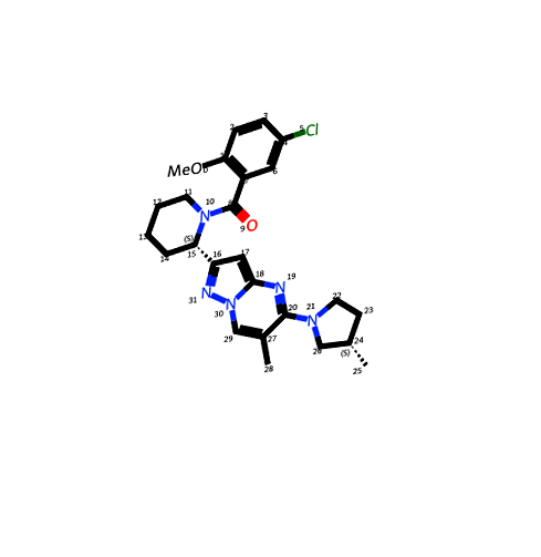 COc1ccc(Cl)cc1C(=O)N1CCCC[C@H]1c1cc2nc(N3CC[C@H](C)C3)c(C)cn2n1